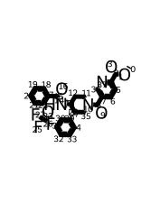 COC(=O)c1ccc(C(=O)N2CC[C@@H](NC(=O)c3ccccc3OC(F)(F)F)[C@@H](c3ccccc3)C2)cn1